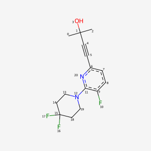 CC(C)(O)C#Cc1ccc(F)c(N2CCC(F)(F)CC2)n1